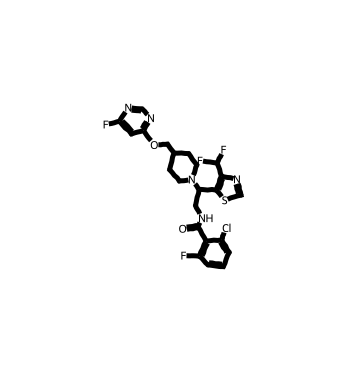 O=C(NCC(c1scnc1C(F)F)N1CCC(COc2cc(F)ncn2)CC1)c1c(F)cccc1Cl